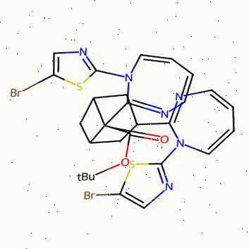 CC(C)(C)OC(=O)C1(C2=NC=CC=CN2c2ncc(Br)s2)C2CC(C3=NC=CC=CN3c3ncc(Br)s3)CC1C2